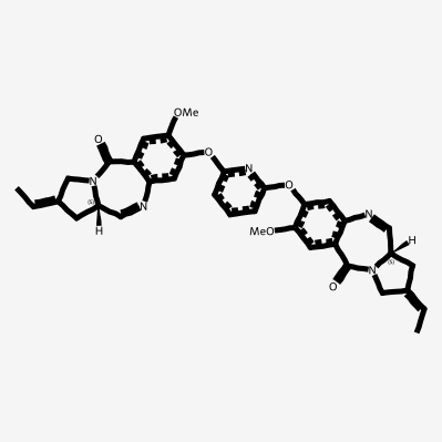 CC=C1C[C@H]2C=Nc3cc(Oc4cccc(Oc5cc6c(cc5OC)C(=O)N5CC(=CC)C[C@H]5C=N6)n4)c(OC)cc3C(=O)N2C1